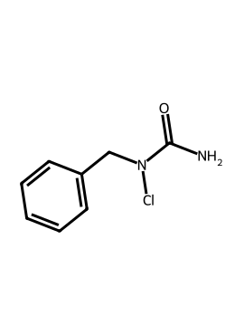 NC(=O)N(Cl)Cc1ccccc1